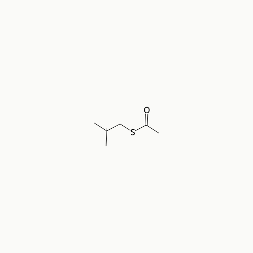 C[C](C)CSC(C)=O